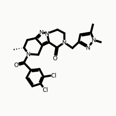 Cc1cc(CN2CCn3nc4c(c3C2=O)CN(C(=O)c2ccc(Cl)c(Cl)c2)[C@H](C)C4)nn1C